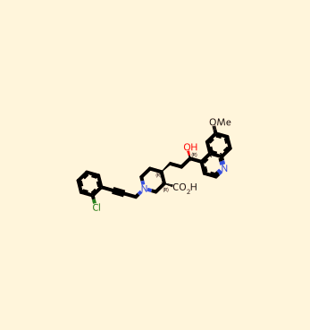 COc1ccc2nccc([C@H](O)CC[C@@H]3CCN(CC#Cc4ccccc4Cl)C[C@@H]3C(=O)O)c2c1